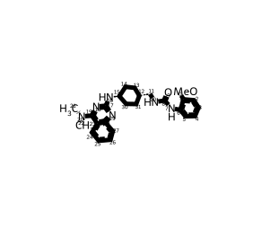 COc1ccccc1NC(=O)NC[C@H]1CC[C@@H](Nc2nc(N(C)C)c3ccccc3n2)CC1